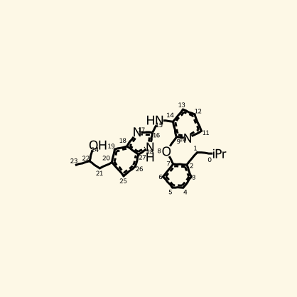 CC(C)Cc1ccccc1Oc1ncccc1Nc1nc2cc(CC(C)O)ccc2[nH]1